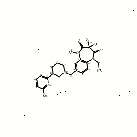 CCN1C(=O)C(C)(C)C(=O)N(C)c2cc(CN3CCCC(c4cccc(C)n4)C3)ccc21